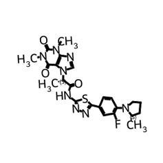 C[C@H]1CCCN1c1ccc(-c2nnc(NC(=O)[C@H](C)n3cnc4c3c(=O)n(C)c(=O)n4C)s2)cc1F